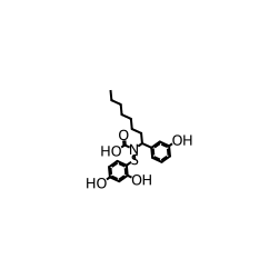 CCCCCCCC(c1cccc(O)c1)N(Sc1ccc(O)cc1O)C(=O)O